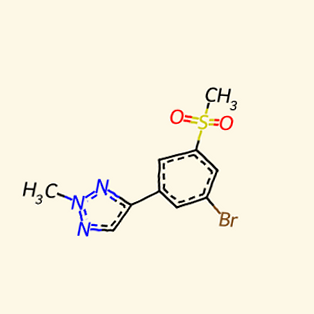 Cn1ncc(-c2cc(Br)cc(S(C)(=O)=O)c2)n1